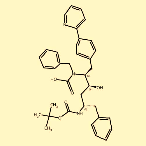 CC(C)(C)OC(=O)N[C@@H](Cc1ccccc1)C[C@H](O)[C@H](Cc1ccc(-c2ccccn2)cc1)N(Cc1ccccc1)C(=O)O